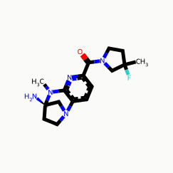 CN1c2nc(C(=O)N3CCC(C)(F)C3)ccc2N2CC[C@@]1(N)C2